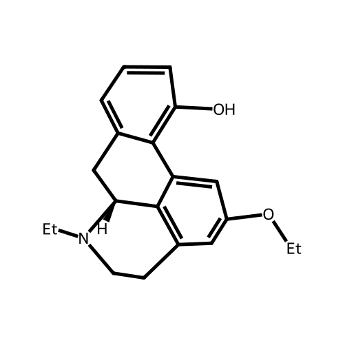 CCOc1cc2c3c(c1)-c1c(O)cccc1C[C@H]3N(CC)CC2